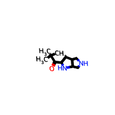 CC(C)(C)C(=O)C1CC2CNCC2N1